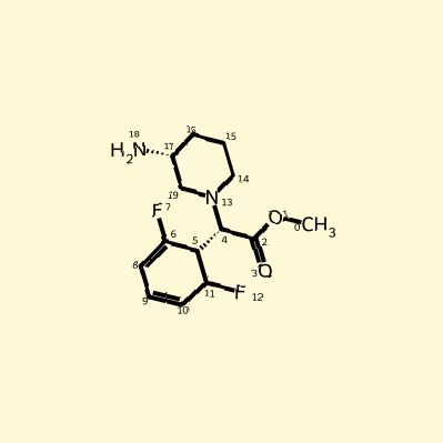 COC(=O)[C@H](C1C(F)=CC=CC1F)N1CCC[C@@H](N)C1